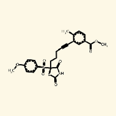 COC(=O)c1ccc(C)c(C#CCCCC2(S(=O)(=O)c3ccc(OC)cc3)SC(=O)NC2=O)c1